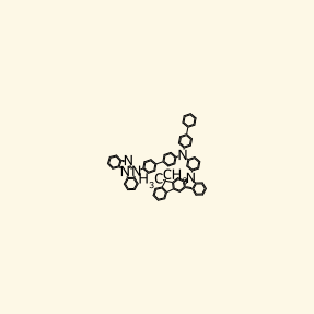 CC1(C)c2ccccc2-c2cc3c4ccccc4n(-c4cccc(N(c5ccc(-c6ccccc6)cc5)c5ccc(-c6ccc(-n7c8ccccc8n8c9ccccc9nc78)cc6)cc5)c4)c3cc21